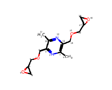 Cc1nc(COCC2CO2)c(C)nc1COCC1CO1